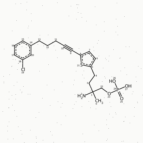 CC(N)(CCc1ccc(C#CCCCc2cccc(Cl)c2)s1)COP(=O)(O)O